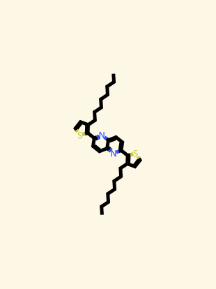 CCCCCCCCc1ccsc1-c1ccc2nc(-c3sccc3CCCCCCCC)ccc2n1